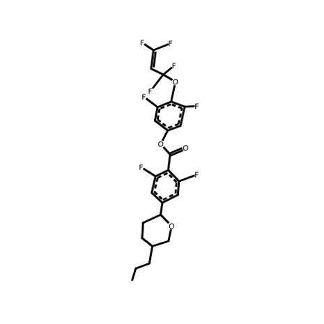 CCCC1CCC(c2cc(F)c(C(=O)Oc3cc(F)c(OC(F)(F)C=C(F)F)c(F)c3)c(F)c2)OC1